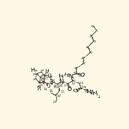 CCCCCCCCCC(=O)N[C@@H](CC(N)=O)C(=O)N[C@@H](CC(C)C)B1O[C@@H]2C[C@@H]3C[C@@H](C3(C)C)[C@]2(C)O1